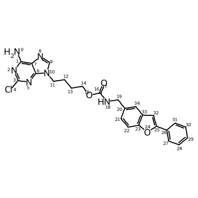 Nc1nc(Cl)nc2c1ncn2CCCCOC(=O)NCc1ccc2oc(-c3ccccc3)cc2c1